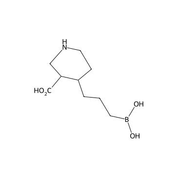 O=C(O)C1CNCCC1CCCB(O)O